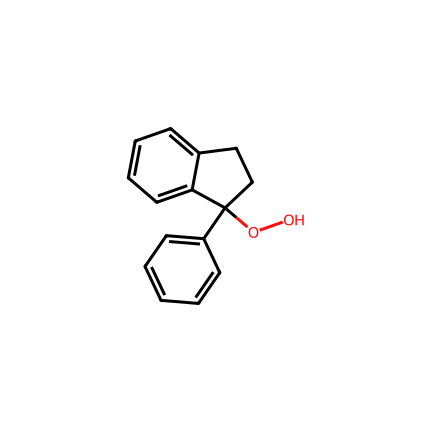 OOC1(c2ccccc2)CCc2ccccc21